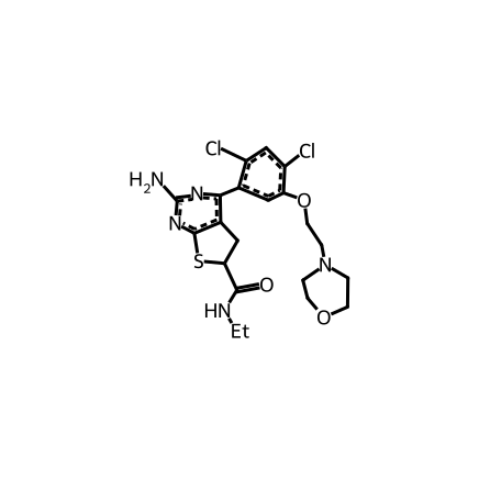 CCNC(=O)C1Cc2c(nc(N)nc2-c2cc(OCCN3CCOCC3)c(Cl)cc2Cl)S1